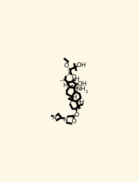 CCO[C@@H]([C@H]1C[C@@H](C)[C@H]2[C@H](O1)[C@H](O)[C@@]1(N)[C@@H]3CC[C@H]4C(C)(C)[C@@H](O[C@H]5CN(C6CN(C)C6)CCO5)CC[C@@]45C[C@@]35CC[C@]21C)C(C)(C)O